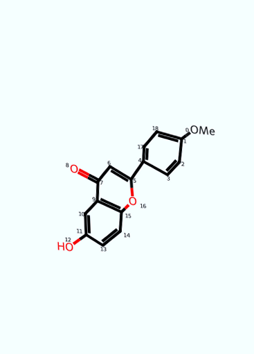 COc1ccc(-c2cc(=O)c3cc(O)ccc3o2)cc1